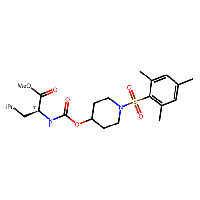 COC(=O)[C@H](CC(C)C)NC(=O)OC1CCN(S(=O)(=O)c2c(C)cc(C)cc2C)CC1